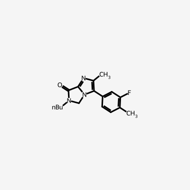 CCCCN1Cn2c(nc(C)c2-c2ccc(C)c(F)c2)C1=O